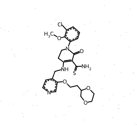 COc1c(Cl)cccc1N1CCC(NCc2ccncc2OCCC2COCCO2)=C(C(N)=S)C1=O